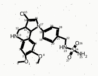 COc1cc2c(cc1OC)C1C(CN2)C(Cl)=CN1c1ccc(CNS(N)(=O)=O)cc1